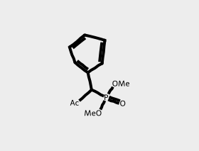 COP(=O)(OC)C(C(C)=O)c1ccccc1